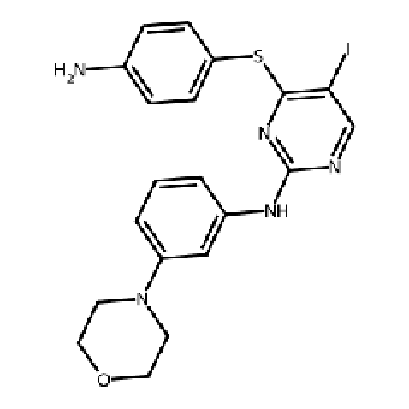 Nc1ccc(Sc2nc(Nc3cccc(N4CCOCC4)c3)ncc2I)cc1